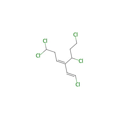 ClC=CC(=CCC(Cl)Cl)C(Cl)CCCl